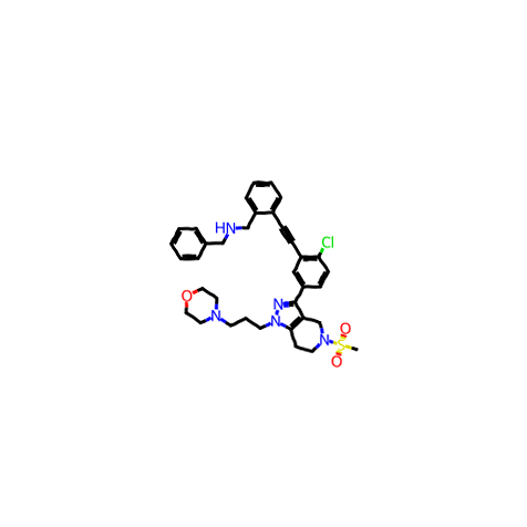 CS(=O)(=O)N1CCc2c(c(-c3ccc(Cl)c(C#Cc4ccccc4CNCc4ccccc4)c3)nn2CCCN2CCOCC2)C1